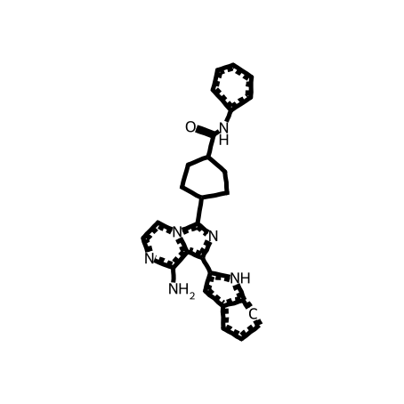 Nc1nccn2c(C3CCC(C(=O)Nc4ccccc4)CC3)nc(-c3cc4ccccc4[nH]3)c12